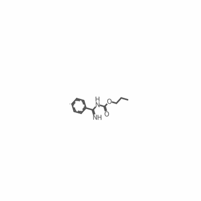 CCCOC(=O)NC(=N)c1cc[c]cc1